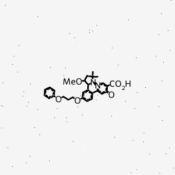 COC1CC(C)(C)N2C1c1cc(OCCCOc3ccccc3)ccc1-c1cc(=O)c(C(=O)O)cn12